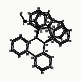 COc1ccc2cccc3c2c1C12c4ccccc4-c4ccccc4C31c1ccccc1-c1ccccc12